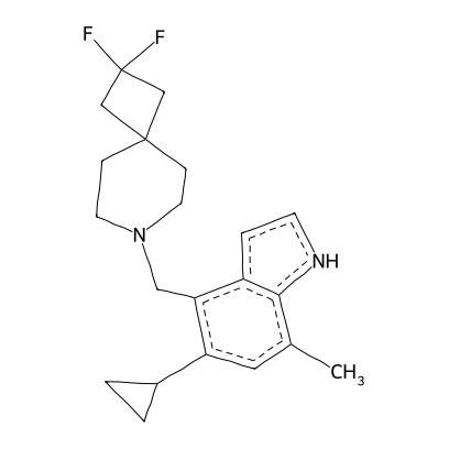 Cc1cc(C2CC2)c(CN2CCC3(CC2)CC(F)(F)C3)c2cc[nH]c12